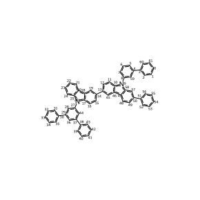 c1ccc(-c2cccc(-n3c4ccc(-c5ccc6c(c5)c5ccccc5n6-c5cc(-c6ccccc6)cc(-c6ccccc6)c5)cc4c4ccc(-c5ccccc5)cc43)c2)cc1